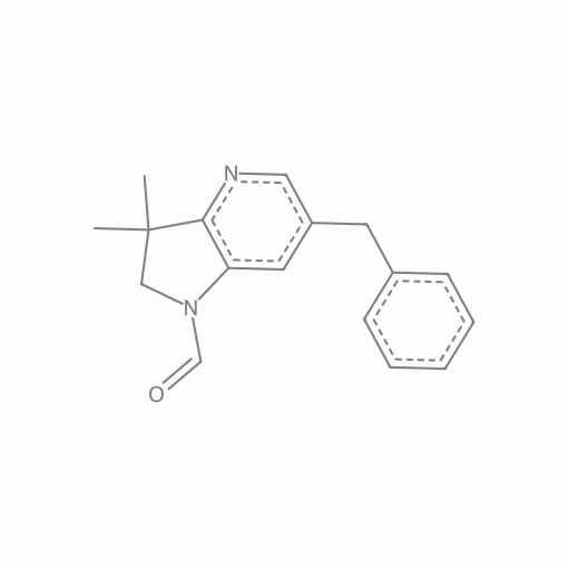 CC1(C)CN(C=O)c2cc(Cc3ccccc3)cnc21